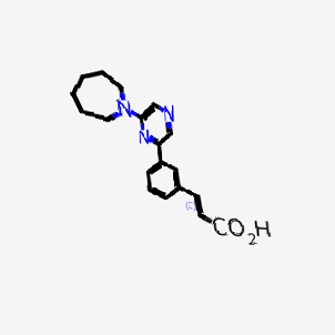 O=C(O)/C=C/c1cccc(-c2cncc(N3CCCCCC3)n2)c1